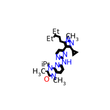 CCC(CC)CCc1c(-c2ccnc(Nc3ccc4c(n3)N(C(C)C)[C@H](C)C(=O)N4C)n2)c(C2CC2)nn1C